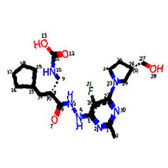 Cc1nc(NNC(=O)[C@@H](CNC(=O)O)CC2CCCC2)c(F)c(N2CC[C@H](CO)C2)n1